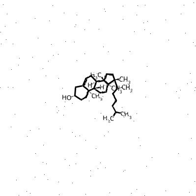 CC(C)CCC[C@@H](C)[C@@]1(C)CC[C@@]2(C)[C@@H]3CC=C4C[C@@H](O)CC[C@]4(C)[C@H]3CC[C@@]21C